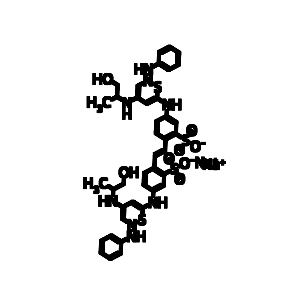 CC(CO)NC1=CN(Nc2ccccc2)SC(Nc2ccc(C=Cc3ccc(NC4=CC(NC(C)CO)=CN(Nc5ccccc5)S4)cc3S(=O)(=O)[O-])c(S(=O)(=O)[O-])c2)=C1.[Na+].[Na+]